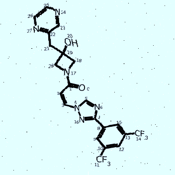 O=C(/C=C\n1cnc(-c2cc(C(F)(F)F)cc(C(F)(F)F)c2)n1)N1CC(O)(Cc2cnccn2)C1